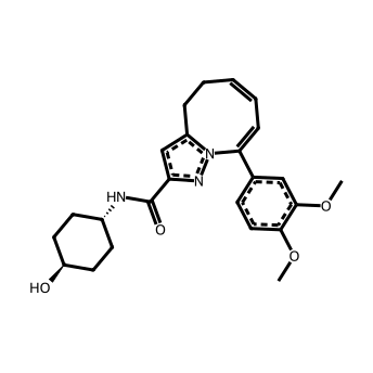 COc1ccc(/C2=C/C=C\CCc3cc(C(=O)N[C@H]4CC[C@H](O)CC4)nn32)cc1OC